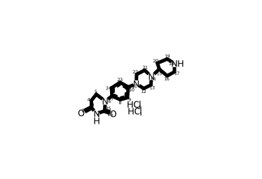 Cl.Cl.O=C1CCN(c2ccc(N3CCN(C4CCNCC4)CC3)cc2)C(=O)N1